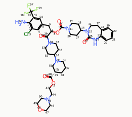 Nc1c(Cl)cc(C[C@@H](OC(=O)N2CCC(N3CCc4ccccc4NC3=O)CC2)C(=O)N2CCC(N3CCC[C@H](C(=O)OCCN4CCOCC4)C3)CC2)cc1C(F)(F)F